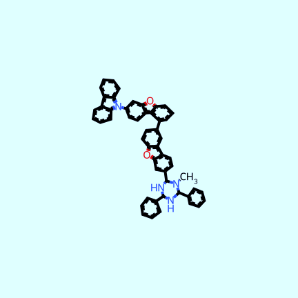 CN1C(c2ccccc2)NC(c2ccccc2)NC1c1ccc2c(c1)oc1ccc(-c3cccc4oc5cc(-n6c7ccccc7c7ccccc76)ccc5c34)cc12